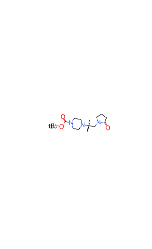 CC(C)(C)OC(=O)N1CCN(C(C)(C)CN2CCCC2=O)CC1